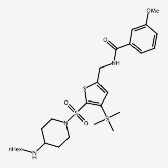 CCCCCCNC1CCN(S(=O)(=O)c2sc(CNC(=O)c3cccc(OC)c3)cc2[Si](C)(C)C)CC1